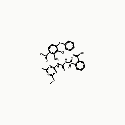 COc1nc(C)nc(NC(=O)NS(=O)(=O)c2ccccc2C(=O)O)n1.Nc1c([N+](=O)[O-])ccc(Oc2ccccc2)c1Cl